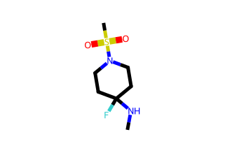 CNC1(F)CCN(S(C)(=O)=O)CC1